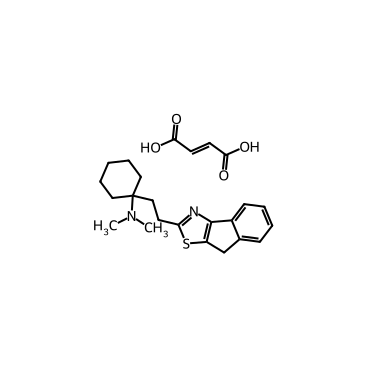 CN(C)C1(CCc2nc3c(s2)Cc2ccccc2-3)CCCCC1.O=C(O)C=CC(=O)O